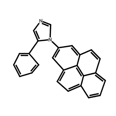 c1ccc(-c2cncn2-c2cc3ccc4cccc5ccc(c2)c3c45)cc1